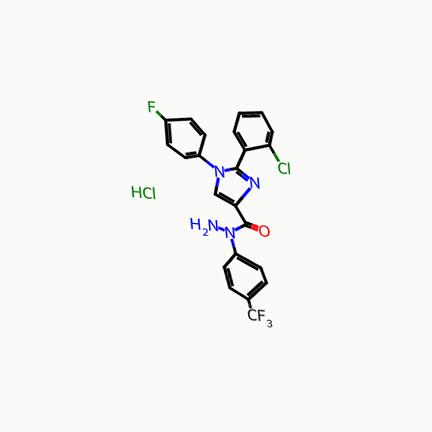 Cl.NN(C(=O)c1cn(-c2ccc(F)cc2)c(-c2ccccc2Cl)n1)c1ccc(C(F)(F)F)cc1